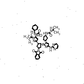 CC(C)(C)n1nc([C@H]2CC[C@@H](N3C(=O)c4ccccc4C3=O)C2)cc1N(Cc1ccccc1)C(=O)O.CC(C)NC(=O)N[C@H]1CC[C@@H](c2cc(Nc3ncccn3)n[nH]2)C1